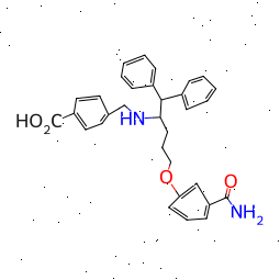 NC(=O)c1cccc(OCCCC(NCc2ccc(C(=O)O)cc2)C(c2ccccc2)c2ccccc2)c1